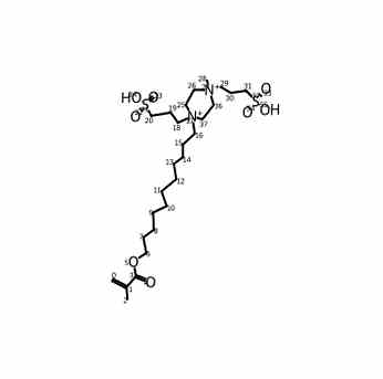 C=C(C)C(=O)OCCCCCCCCCCC[N+]1(CCCS(=O)(=O)O)CC[N+](C)(CCCS(=O)(=O)O)CC1